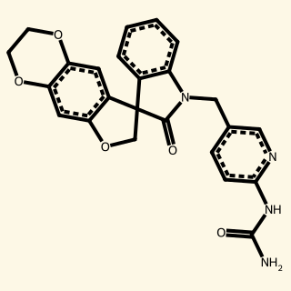 NC(=O)Nc1ccc(CN2C(=O)C3(COc4cc5c(cc43)OCCO5)c3ccccc32)cn1